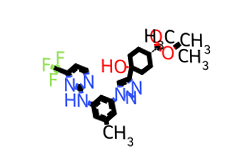 Cc1cc(Nc2nccc(C(F)(F)F)n2)cc(-n2cc([C@]3(O)CC[C@@H](C(=O)OC(C)(C)C)CC3)nn2)c1